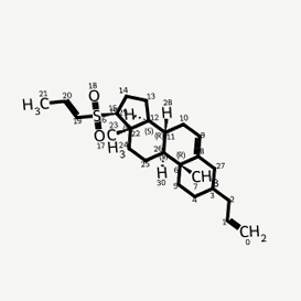 C=CCC1CC[C@@]2(C)C(=CC[C@H]3[C@@H]4CC[C@H](S(=O)(=O)C=CC)[C@@]4(C)CC[C@@H]32)C1